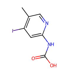 Cc1cnc(NC(=O)O)cc1I